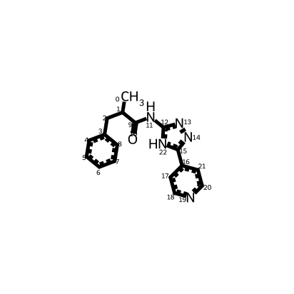 CC(Cc1ccccc1)C(=O)Nc1nnc(-c2ccncc2)[nH]1